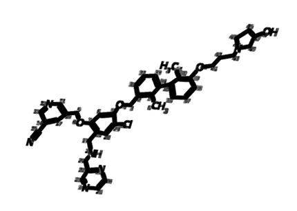 Cc1c(COc2cc(OCc3cncc(C#N)c3)c(CNCc3cnccn3)cc2Cl)cccc1-c1cccc(OCCCN2CCC(O)C2)c1C